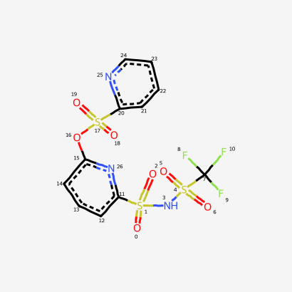 O=S(=O)(NS(=O)(=O)C(F)(F)F)c1cccc(OS(=O)(=O)c2ccccn2)n1